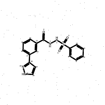 O=C(NNS(=O)(=O)c1ccccc1)c1cccc(-c2cc[nH]n2)c1